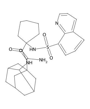 NC(=O)C12CC3CC(C1)C(NC(=O)C1(NS(=O)(=O)c4cccc5cccnc45)CCCCC1)C(C3)C2